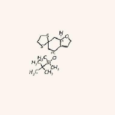 CC(C)(C)[Si](C)(C)O[C@@H]1CC2(C[C@H]3OCC=C31)SCCS2